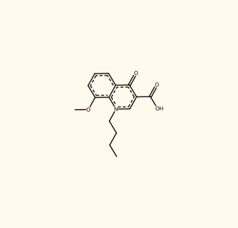 CCCCn1cc(C(=O)O)c(=O)c2cccc(OC)c21